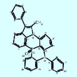 Cc1c(-c2ccccc2)c2cccc3c2n1-c1cccc2c1P3(=O)c1ccccc1N2c1ccccc1